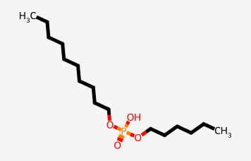 CCCCCCCCCCOP(=O)(O)OCCCCCC